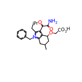 CC(C)Cc1c(C(=O)C(N)=O)c2c(n1Cc1ccccc1)CC(C)CC2OCC(=O)O